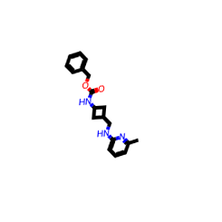 Cc1cccc(NCC2CC(NC(=O)OCc3ccccc3)C2)n1